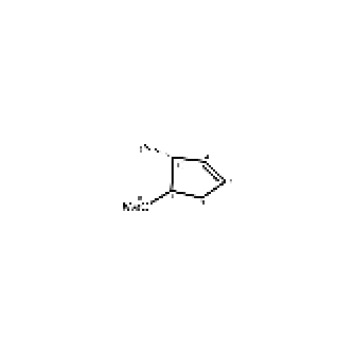 COC1CC=C[C@H]1C